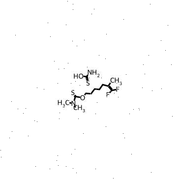 CC(CCCCCOC(=S)N(C)C)=C(F)F.NC(O)=S